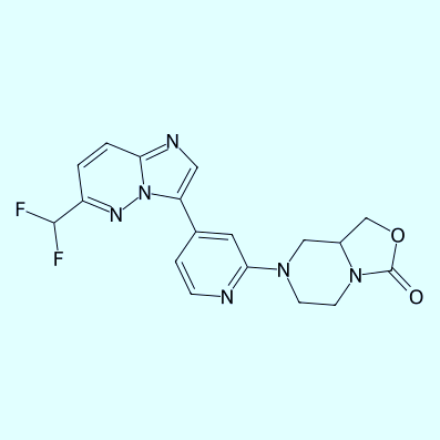 O=C1OCC2CN(c3cc(-c4cnc5ccc(C(F)F)nn45)ccn3)CCN12